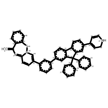 C=C1N=C2C=CC(c3cccc(-c4ccc5c(c4)C(c4ccccc4)(c4ccccc4)c4cc(C6=CCNC=C6)ccc4-5)c3)=CN2Sc2ccccc21